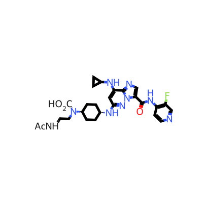 CC(=O)NCCN(C(=O)O)[C@H]1CC[C@H](Nc2cc(NC3CC3)c3ncc(C(=O)Nc4ccncc4F)n3n2)CC1